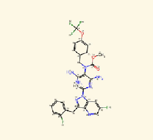 C=C(/N=C(/N)C(=C(N)N)N(CC1C=CC(OC(F)(F)F)=CC1)C(=O)OC)n1nc(Cc2ccccc2F)c2ncc(F)cc21